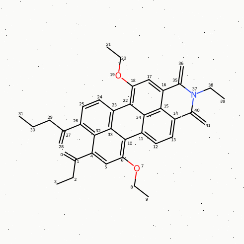 C=C(CC)c1cc(OCC)c2c3ccc4c5c(cc(OCC)c(c6ccc(C(=C)CCC)c1c62)c53)C(=C)N(CC)C4=C